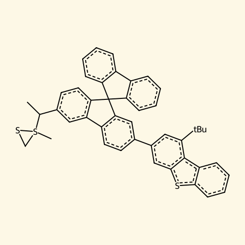 CC(c1ccc2c(c1)-c1ccc(-c3cc(C(C)(C)C)c4c(c3)sc3ccccc34)cc1C21c2ccccc2-c2ccccc21)S1(C)CS1